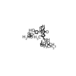 C=CCC[C@@H](NC(=O)OC(C)(C)C)c1cc(C(=O)c2cncnc2N[C@@H]2C[C@H](COS(N)(=O)=O)[C@@H](O)C2)sc1C